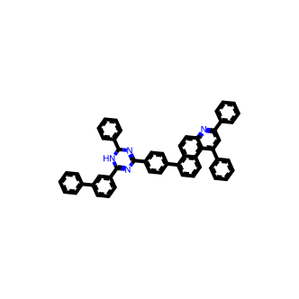 c1ccc(-c2cccc(C3=NC(c4ccc(-c5cccc6c5ccc5nc(-c7ccccc7)cc(-c7ccccc7)c56)cc4)=NC(c4ccccc4)N3)c2)cc1